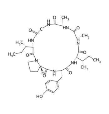 CC[C@H](C)[C@@H]1NC(=O)[C@H](Cc2ccc(O)cc2)NC(=O)[C@@H]2CCCN2C(=O)[C@H]([C@@H](C)CC)NC(=O)CNC(=O)[C@H](C)NC(=O)[C@H](C)NC1=O